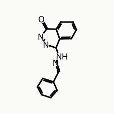 O=C1N=NC(NN=Cc2ccccc2)c2ccccc21